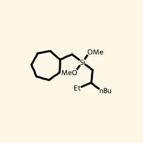 CCCCC(CC)C[Si]([CH]C1CCCCCC1)(OC)OC